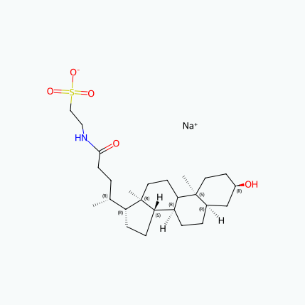 C[C@H](CCC(=O)NCCS(=O)(=O)[O-])[C@H]1CC[C@H]2[C@@H]3CC[C@@H]4C[C@H](O)CC[C@]4(C)C3CC[C@]12C.[Na+]